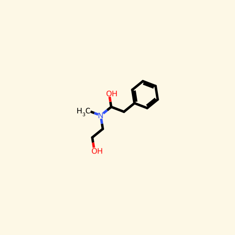 CN(CCO)C(O)Cc1ccccc1